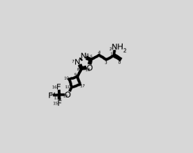 C=C(N)CCc1nnc(C2CC(OC(F)(F)F)C2)o1